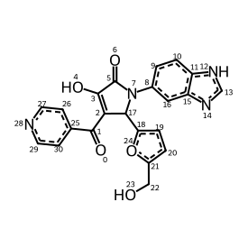 O=C(C1=C(O)C(=O)N(c2ccc3[nH]cnc3c2)C1c1ccc(CO)o1)c1ccncc1